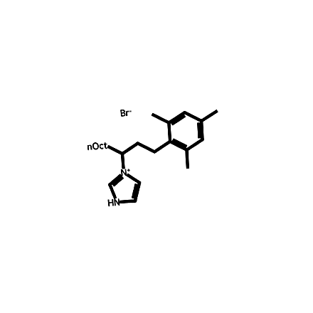 CCCCCCCCC(CCc1c(C)cc(C)cc1C)[n+]1cc[nH]c1.[Br-]